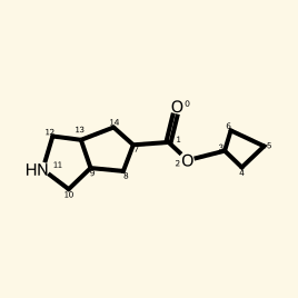 O=C(OC1CCC1)C1CC2CNCC2C1